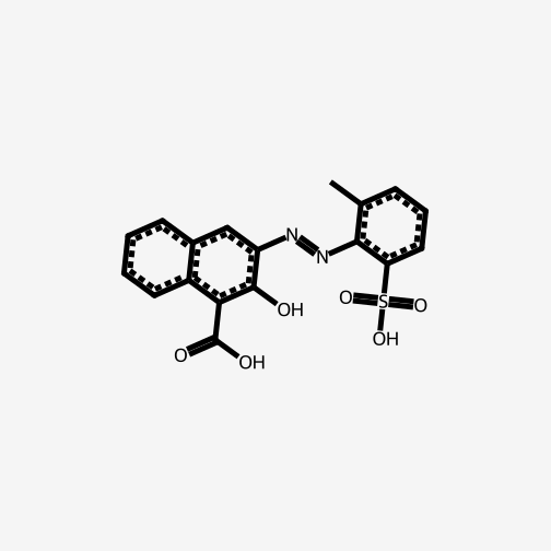 Cc1cccc(S(=O)(=O)O)c1N=Nc1cc2ccccc2c(C(=O)O)c1O